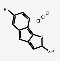 Brc1ccc2c(c1)=CC1=C[CH]([Zr+3])SC=21.[Cl-].[Cl-].[Cl-]